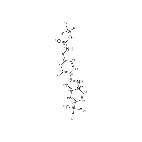 Cc1cc(CNC(=O)OC(C)(C)C)ccc1-c1nc2cc(C(F)(F)F)ccn2n1